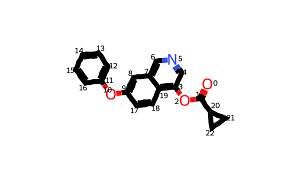 O=C(Oc1cncc2cc(Oc3ccccc3)ccc12)C1CC1